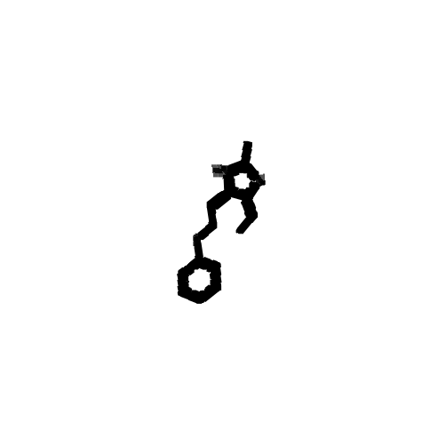 C/C=c1/nc(C)[nH]/c1=C/CSc1ccccc1